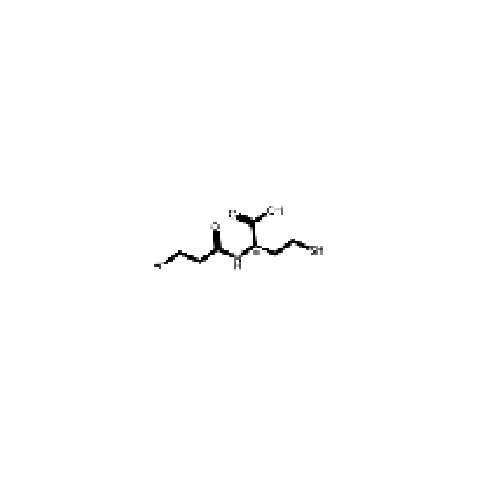 O=C(CCBr)N[C@H](CCS)C(=O)O